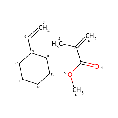 C=C(C)C(=O)OC.C=CC1CCCCC1